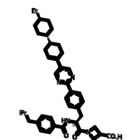 CC[C@H]1CC[C@H](C2CC=C(c3cnc(-c4ccc(C[C@H](NC(=O)c5ccc(CC(C)C)cc5)C(=O)N5CC(C(=O)O)C5)cc4)nc3)CC2)CC1